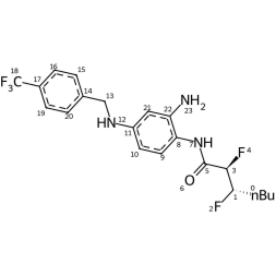 CCCC[C@H](F)[C@H](F)C(=O)Nc1ccc(NCc2ccc(C(F)(F)F)cc2)cc1N